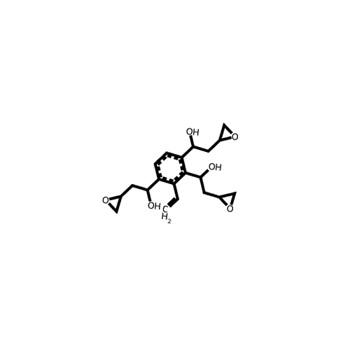 C=Cc1c(C(O)CC2CO2)ccc(C(O)CC2CO2)c1C(O)CC1CO1